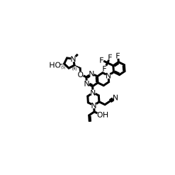 C=CC(O)N1CCN(c2nc(OC[C@H]3C[C@H](O)CN3C)nc3c2CCN(c2cccc(F)c2C(F)(F)F)C3)CC1CC#N